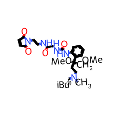 CC[C@@H](C)CN(C)CCC(C)(OC)c1c(NC(=O)NCC(=O)NCCN2C(=O)C=CC2=O)cccc1OC